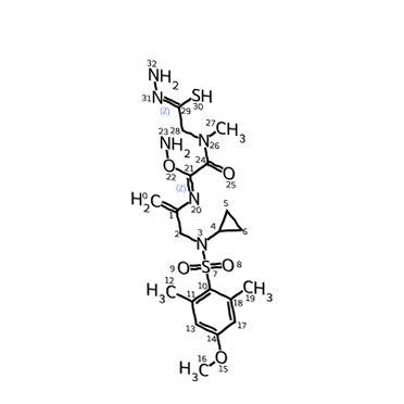 C=C(CN(C1CC1)S(=O)(=O)c1c(C)cc(OC)cc1C)/N=C(\ON)C(=O)N(C)C/C(S)=N/N